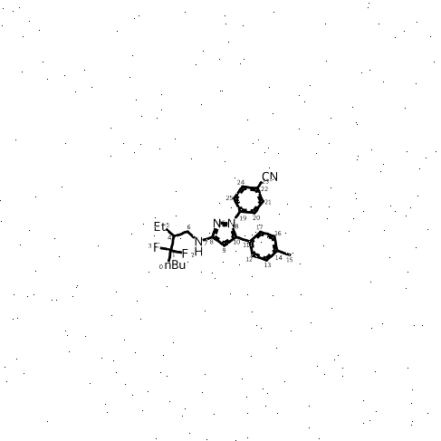 CCCCC(F)(F)C(CC)CNc1cc(-c2ccc(C)cc2)n(-c2ccc(C#N)cc2)n1